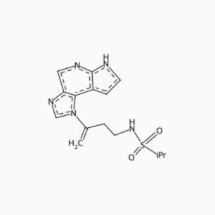 C=C(CCNS(=O)(=O)C(C)C)n1cnc2cnc3[nH]ccc3c21